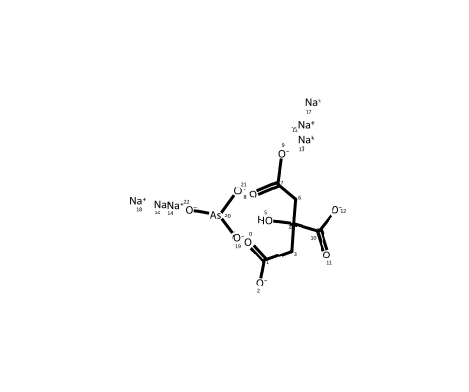 O=C([O-])CC(O)(CC(=O)[O-])C(=O)[O-].[Na+].[Na+].[Na+].[Na+].[Na+].[Na+].[O-][As]([O-])[O-]